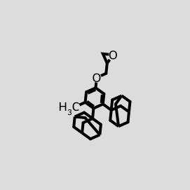 Cc1cc(OCC2CO2)cc(C23CC4CC(CC(C4)C2)C3)c1C12CC3CC(CC(C3)C1)C2